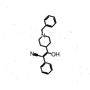 N#CC(=C(O)C1CCN(Cc2ccccc2)CC1)c1ccccc1